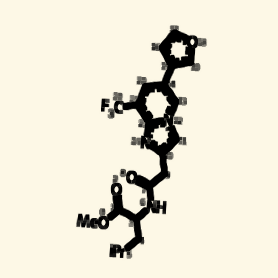 COC(=O)C(CC(C)C)NC(=O)Cc1cn2cc(-c3ccoc3)cc(C(F)(F)F)c2n1